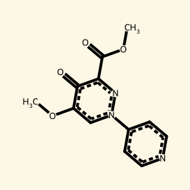 COC(=O)c1nn(-c2ccncc2)cc(OC)c1=O